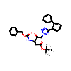 CC(C)(C)OC(=O)CC(NC(=O)OCc1ccccc1)C(=O)Cn1nnc(-c2ccccc2-c2ccccc2)n1